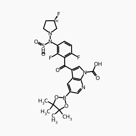 CC1(C)OB(c2cnc3c(c2)c(C(=O)c2c(F)ccc(N(N4CC[C@@H](F)C4)[SH](=O)=O)c2F)cn3C(=O)O)OC1(C)C